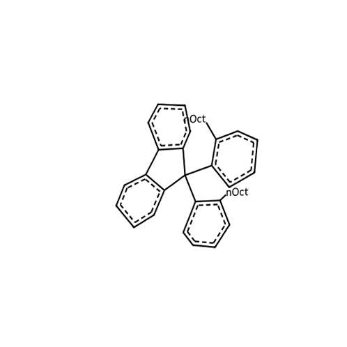 CCCCCCCCc1ccccc1C1(c2ccccc2CCCCCCCC)c2ccccc2-c2ccccc21